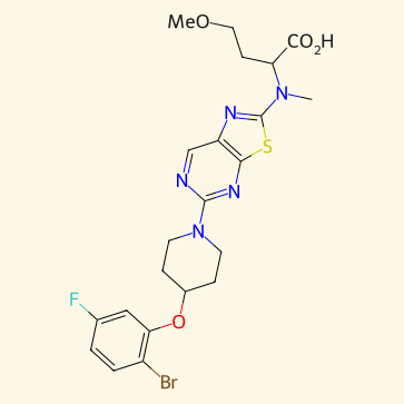 COCCC(C(=O)O)N(C)c1nc2cnc(N3CCC(Oc4cc(F)ccc4Br)CC3)nc2s1